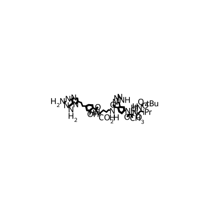 CC(NC(=O)C(NC(=O)OC(C)(C)C)C(C)C)C(=O)Nc1ccc(C(=O)NCCCC(NC(=O)c2ccc(CCc3cnc4nc(N)nc(N)c4n3)cc2O)C(=O)O)c(-c2nnn[nH]2)c1